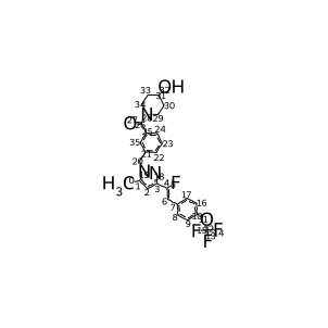 Cc1cc(C(F)=Cc2ccc(OC(F)(F)F)cc2)nn1Cc1cccc(C(=O)N2CCC(O)CC2)c1